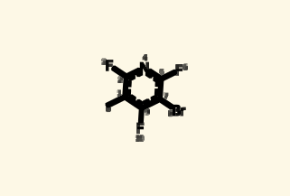 Cc1c(F)nc(F)c(Br)c1F